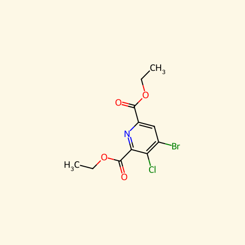 CCOC(=O)c1cc(Br)c(Cl)c(C(=O)OCC)n1